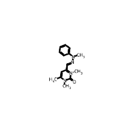 Cc1cc(C=NN(C)c2ccccc2)[n+](C)c(=O)n1C